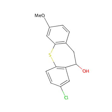 COc1ccc2c(c1)Sc1ccc(Cl)cc1C(O)C2